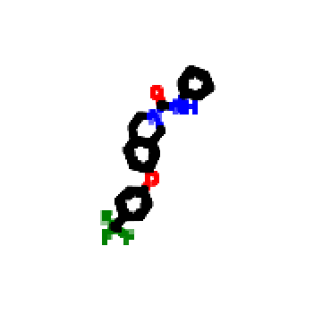 O=C(Nc1ccccc1)N1CCc2ccc(Oc3ccc(C(F)(F)F)cc3)cc2C1